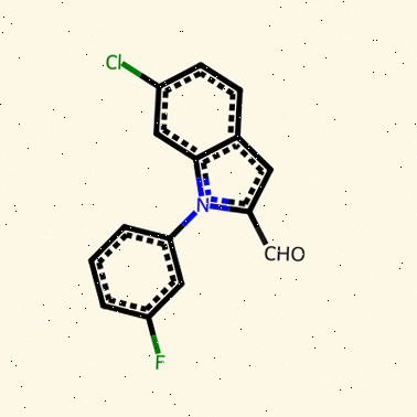 O=Cc1cc2ccc(Cl)cc2n1-c1cccc(F)c1